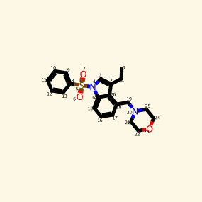 C[CH]c1cn(S(=O)(=O)c2ccccc2)c2cccc(CN3CCOCC3)c12